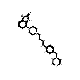 O=c1[nH]c2cccc(N3CCN(CCCOc4ccc(CN5CCOCC5)cc4)CC3)c2o1